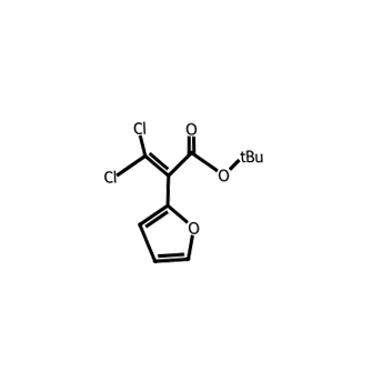 CC(C)(C)OC(=O)C(=C(Cl)Cl)c1ccco1